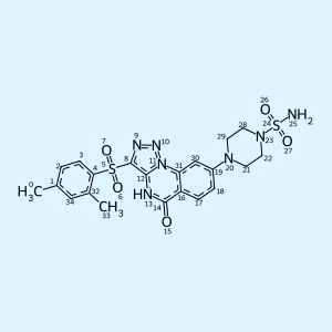 Cc1ccc(S(=O)(=O)c2nnn3c2[nH]c(=O)c2ccc(N4CCN(S(N)(=O)=O)CC4)cc23)c(C)c1